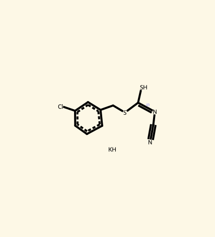 N#C/N=C(/S)SCc1cccc(Cl)c1.[KH]